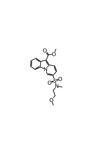 COCCN(C)S(=O)(=O)c1ccc2c(C(=O)OC)c3ccccc3n2c1